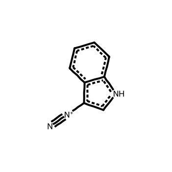 N#[N+]c1c[nH]c2ccccc12